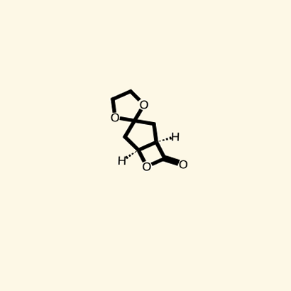 O=C1O[C@H]2CC3(C[C@@H]12)OCCO3